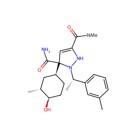 CNC(=O)C1=CC(C(N)=O)([C@H]2CC[C@@H](O)[C@H](C)C2)N([C@@H](C)c2cccc(C)c2)N1